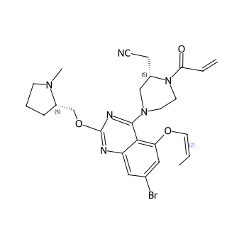 C=CC(=O)N1CCN(c2nc(OC[C@@H]3CCCN3C)nc3cc(Br)cc(O/C=C\C)c23)C[C@@H]1CC#N